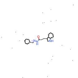 O=C(CCc1c[nH]c2ccccc12)N/N=C/c1ccccc1